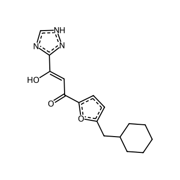 O=C(C=C(O)c1nc[nH]n1)c1ccc(CC2CCCCC2)o1